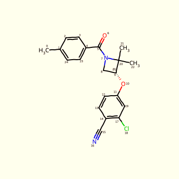 Cc1ccc(C(=O)N2C[C@@H](Oc3ccc(C#N)c(Cl)c3)C2(C)C)cc1